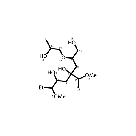 CCC(OC)C(O)CC(O)(CC(CO)OCC(C)O)C(C)OC